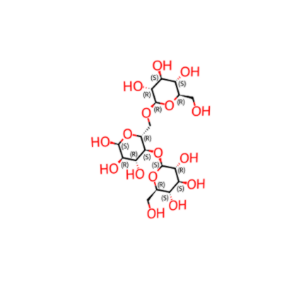 OC[C@H]1O[C@@H](OC[C@H]2O[C@H](O)[C@H](O)[C@@H](O)[C@@H]2O[C@@H]2O[C@H](CO)[C@@H](O)[C@H](O)[C@H]2O)[C@H](O)[C@@H](O)[C@@H]1O